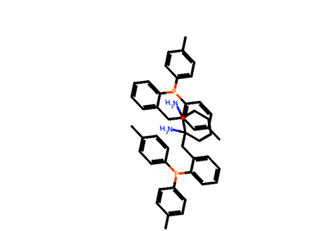 Cc1ccc(P(c2ccc(C)cc2)c2ccccc2CC2(N)CCCCC2(N)Cc2ccccc2P(c2ccc(C)cc2)c2ccc(C)cc2)cc1